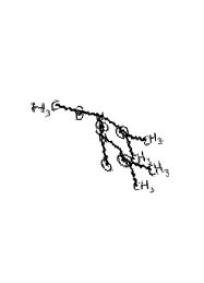 CCCCCCCCCOC(=O)CCCCCCCN(CCCCCCCC(=O)OC(CCCCCCCC)CCCCCCCC)CCOC(=O)OCCN(CCCCCCCC=O)CCCCCCCC(=O)OC(CCCCCCCC)CCCCCCCC